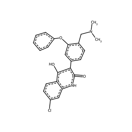 CN(C)Cc1ccc(-c2c(O)c3ccc(Cl)cc3[nH]c2=O)cc1Oc1ccccc1